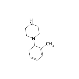 CC1=CC=CCC1N1CCNCC1